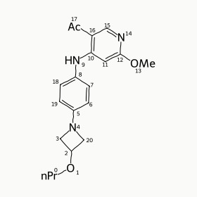 CCCOC1CN(c2ccc(Nc3cc(OC)ncc3C(C)=O)cc2)C1